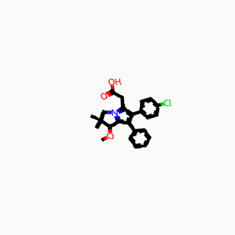 COC1c2c(-c3ccccc3)c(-c3ccc(Cl)cc3)c(CC(=O)O)n2CC1(C)C